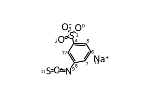 O=S(=O)([O-])c1cccc(N=C=S)c1.[Na+]